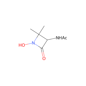 CC(=O)NC1C(=O)N(O)C1(C)C